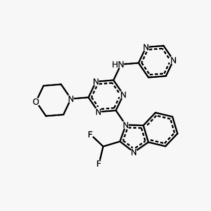 FC(F)c1nc2ccccc2n1-c1nc(Nc2ccncn2)nc(N2CCOCC2)n1